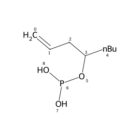 C=CCC(CCCC)OP(O)O